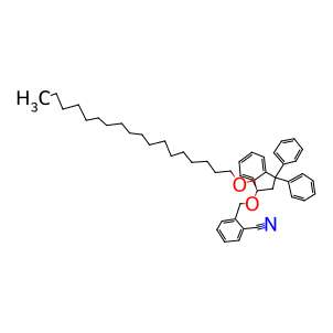 CCCCCCCCCCCCCCCCCCOC[C@@H](CC(c1ccccc1)(c1ccccc1)c1ccccc1)OCc1ccccc1C#N